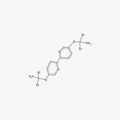 CCC(C)(CC)Oc1ccc(-c2ccc(OC(C)(CC)CC)cn2)nc1